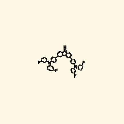 Fc1cccc(N(c2ccc(-c3ccc4[nH]c5ccc(-c6ccc(N(c7cccc(F)c7)c7cccc(F)c7)cc6)cc5c4c3)cc2)c2cccc(F)c2)c1